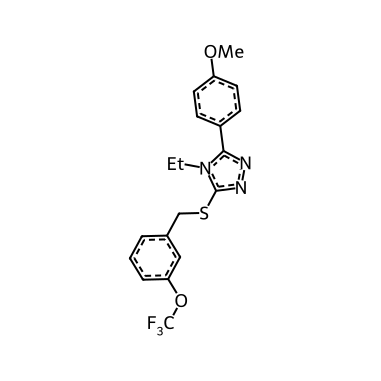 CCn1c(SCc2cccc(OC(F)(F)F)c2)nnc1-c1ccc(OC)cc1